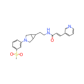 CS(=O)(=O)c1cccc(N2CC3C(CCNC(=O)/C=C/c4cccnc4)C3C2)c1